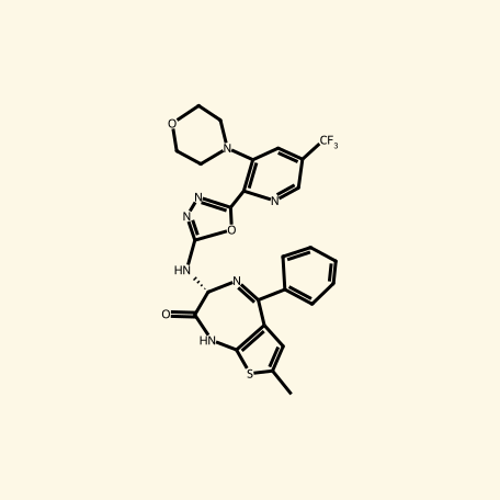 Cc1cc2c(s1)NC(=O)[C@H](Nc1nnc(-c3ncc(C(F)(F)F)cc3N3CCOCC3)o1)N=C2c1ccccc1